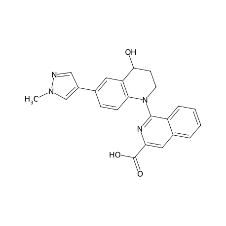 Cn1cc(-c2ccc3c(c2)C(O)CCN3c2nc(C(=O)O)cc3ccccc23)cn1